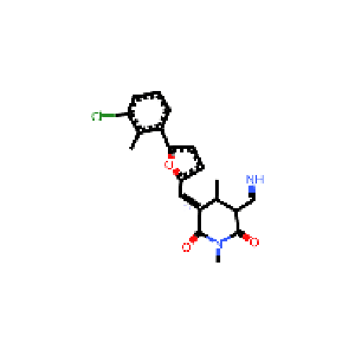 Cc1c(Cl)cccc1-c1ccc(/C=C2/C(=O)N(C)C(=O)C(C=N)C2C)o1